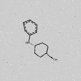 O[C@H]1CC[C@H](Nc2ccccc2)CC1